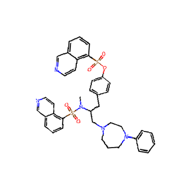 CN(C(Cc1ccc(OS(=O)(=O)c2cccc3cnccc23)cc1)CN1CCCN(c2ccccc2)CC1)S(=O)(=O)c1cccc2cnccc12